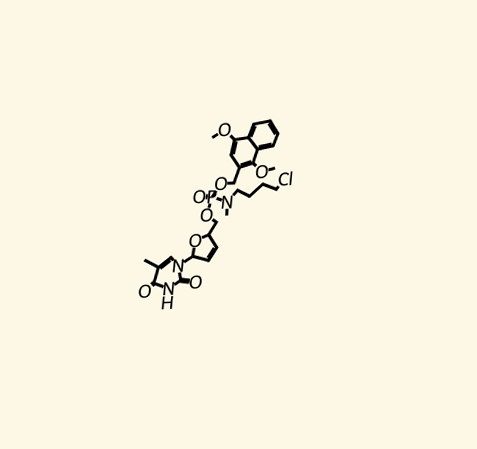 COc1cc(COP(=O)(OCC2C=CC(n3cc(C)c(=O)[nH]c3=O)O2)N(C)CCCCCl)c(OC)c2ccccc12